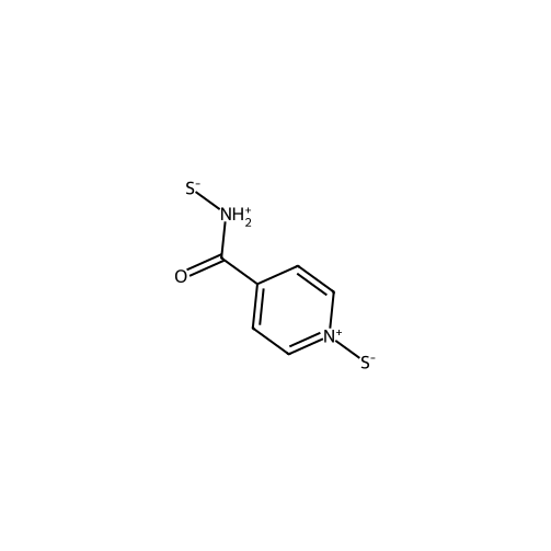 O=C([NH2+][S-])c1cc[n+]([S-])cc1